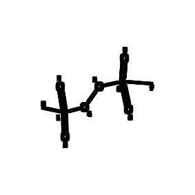 CS(=O)(=O)OOS(C)(=O)=O